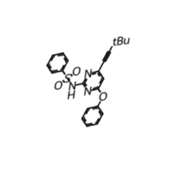 CC(C)(C)C#Cc1cc(Oc2ccccc2)nc(NS(=O)(=O)c2ccccc2)n1